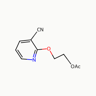 CC(=O)OCCOc1ncccc1C#N